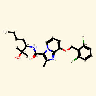 Cc1nc2c(OCc3c(F)cccc3F)cccn2c1C(=O)NC(CCCC(F)(F)F)C(C)(C)O